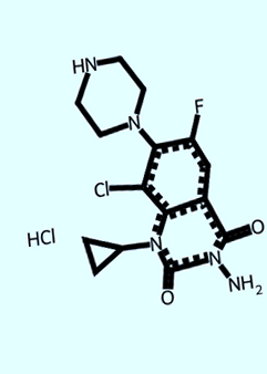 Cl.Nn1c(=O)c2cc(F)c(N3CCNCC3)c(Cl)c2n(C2CC2)c1=O